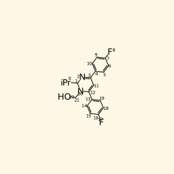 CC(C)C1N=C(c2ccc(F)cc2)C=C(c2ccc(F)cc2)N1CO